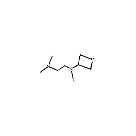 CN(C)CCN(I)C1COC1